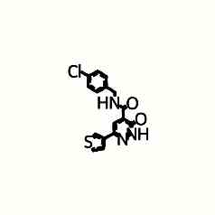 O=C(NCc1ccc(Cl)cc1)c1cc(-c2ccsc2)n[nH]c1=O